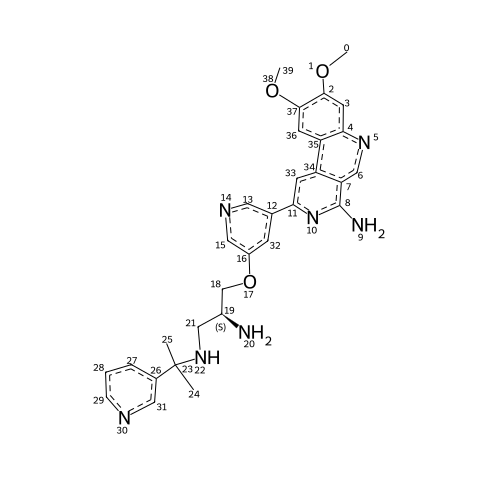 COc1cc2ncc3c(N)nc(-c4cncc(OC[C@@H](N)CNC(C)(C)c5cccnc5)c4)cc3c2cc1OC